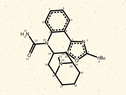 CCCCc1nc(-c2ccccc2N(C(N)=O)C2CC3CCCC(C2)N3C)no1